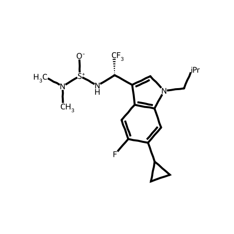 CC(C)Cn1cc([C@H](N[S+]([O-])N(C)C)C(F)(F)F)c2cc(F)c(C3CC3)cc21